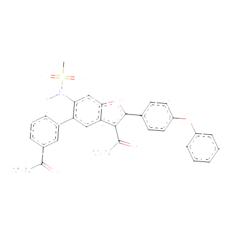 CCN(c1cc2oc(-c3ccc(Oc4ccccc4)cc3)c(C(=O)NC)c2cc1-c1cccc(C(=O)NC)c1)S(C)(=O)=O